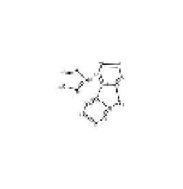 c1ccc2c(c1)sc1ccccc12.c1cscn1